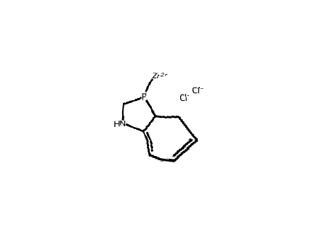 [Cl-].[Cl-].[Zr+2][P]1CNC2=CC=CCC21